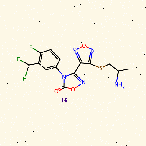 CC(N)CSc1nonc1-c1noc(=O)n1-c1ccc(F)c(C(F)F)c1.I